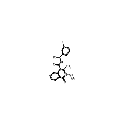 CCCNn1c(C)c(C(=O)N[C@@H](O)c2cccc(F)c2)c2cnccc2c1=O